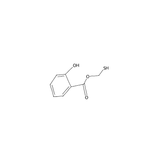 O=C(OCS)c1ccccc1O